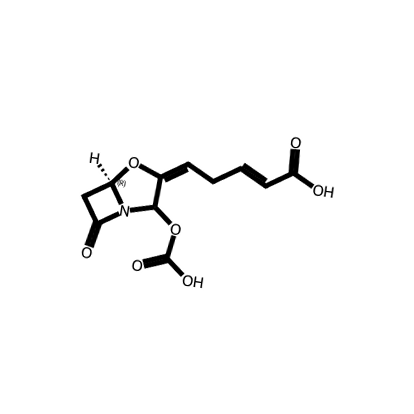 O=C(O)C=CCC=C1O[C@@H]2CC(=O)N2C1OC(=O)O